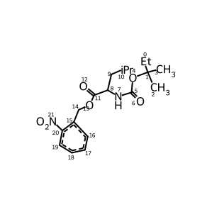 CCC(C)(C)OC(=O)NC(CC(C)C)C(=O)OCc1ccccc1[N+](=O)[O-]